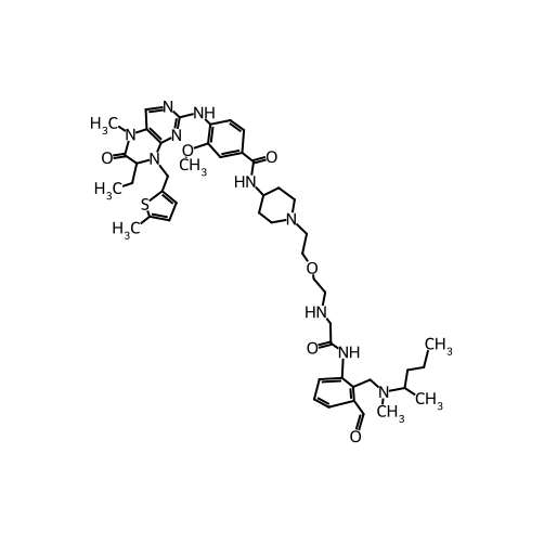 CCCC(C)N(C)Cc1c(C=O)cccc1NC(=O)CNCCOCCN1CCC(NC(=O)c2ccc(Nc3ncc4c(n3)N(Cc3ccc(C)s3)C(CC)C(=O)N4C)c(OC)c2)CC1